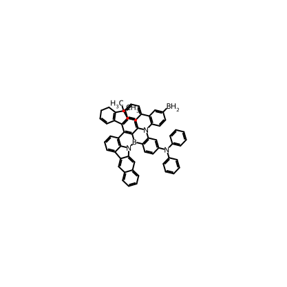 Bc1ccc(N2c3cc(N(c4ccccc4)c4ccccc4)ccc3B3c4c2cc2c(c4-c4cccc5c6cc7ccccc7cc6n3c45)C3=C(CCC=C3)C2(C)C)c(-c2ccccc2)c1